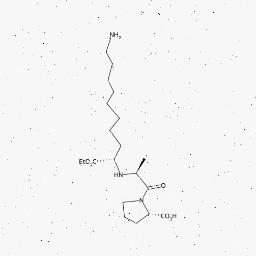 CCOC(=O)[C@H](CCCCCCCCN)N[C@@H](C)C(=O)N1CCC[C@H]1C(=O)O